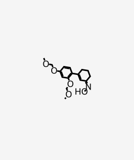 COCOc1ccc(C2=CC(=NO)CCC2)c(OCOC)c1